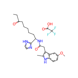 CCC(=O)CCCCCC(NC(=O)Cc1c(C)[nH]c2ccc(OC)cc12)c1ncc[nH]1.O=C(O)C(F)(F)F